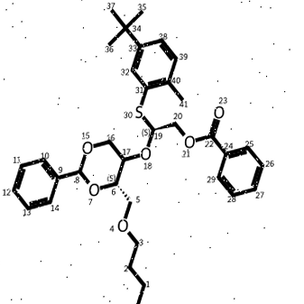 CCCCOC[C@@H]1OC(c2ccccc2)OCC1O[C@H](COC(=O)c1ccccc1)Sc1cc(C(C)(C)C)ccc1C